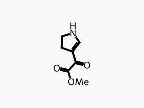 COC(=O)C(=O)C1=CNCC1